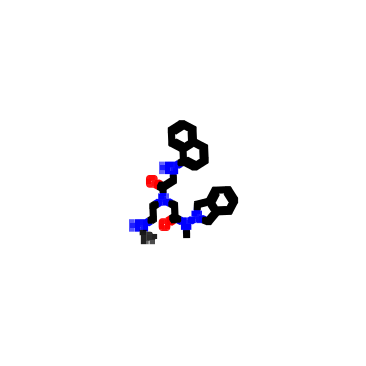 CC(C)NCCN(CC(=O)N(C)N1Cc2ccccc2C1)C(=O)CNc1cccc2ccccc12